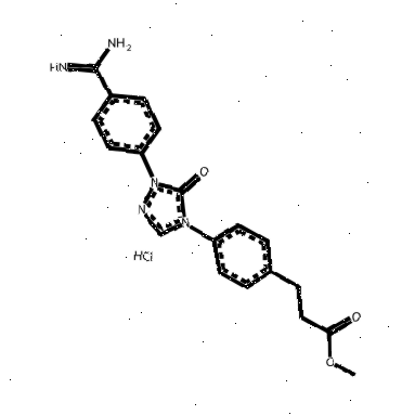 COC(=O)CCc1ccc(-n2cnn(-c3ccc(C(=N)N)cc3)c2=O)cc1.Cl